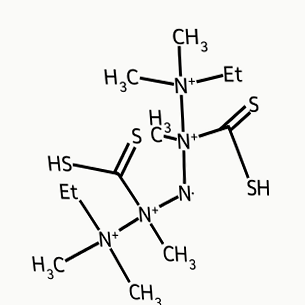 CC[N+](C)(C)[N+](C)([N][N+](C)(C(=S)S)[N+](C)(C)CC)C(=S)S